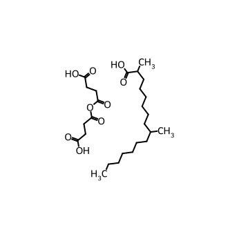 CCCCCCCC(C)CCCCCCC(C)C(=O)O.O=C(O)CCC(=O)OC(=O)CCC(=O)O